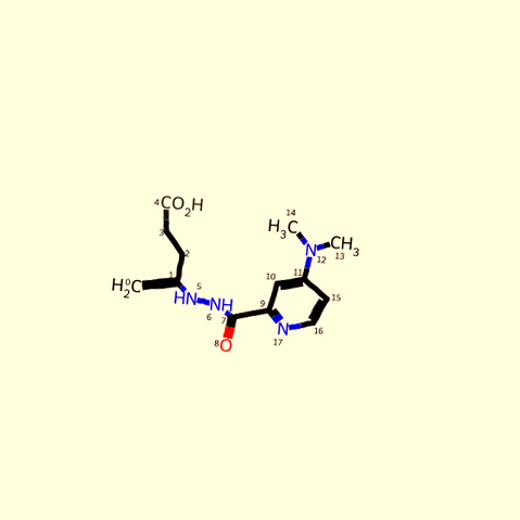 C=C(CCC(=O)O)NNC(=O)c1cc(N(C)C)ccn1